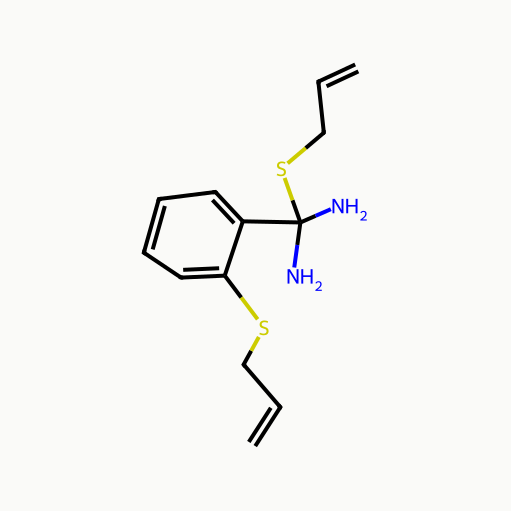 C=CCSc1ccccc1C(N)(N)SCC=C